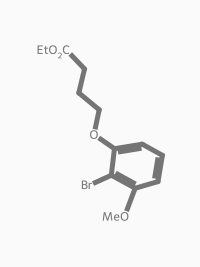 CCOC(=O)CCCOc1cccc(OC)c1Br